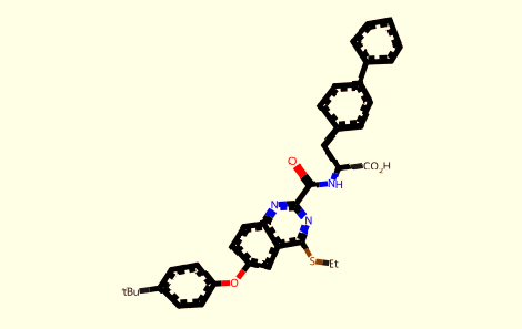 CCSc1nc(C(=O)NC(Cc2ccc(-c3ccccc3)cc2)C(=O)O)nc2ccc(Oc3ccc(C(C)(C)C)cc3)cc12